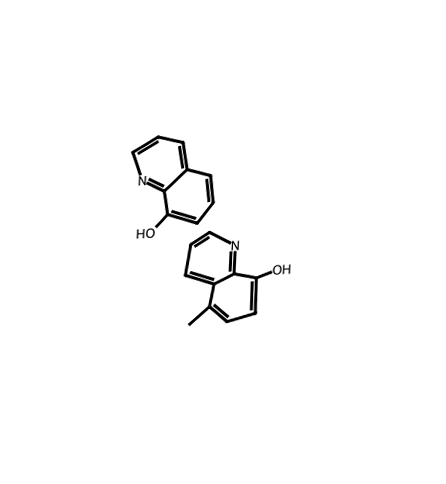 Cc1ccc(O)c2ncccc12.Oc1cccc2cccnc12